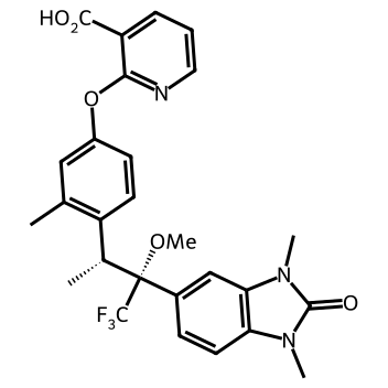 CO[C@@](c1ccc2c(c1)n(C)c(=O)n2C)([C@H](C)c1ccc(Oc2ncccc2C(=O)O)cc1C)C(F)(F)F